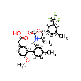 COc1ccc(CC(=O)O)cc1-c1ccc(C)cc1CN1C(=O)O[C@H](c2cc(C)cc(C(F)(F)F)c2)[C@@H]1C